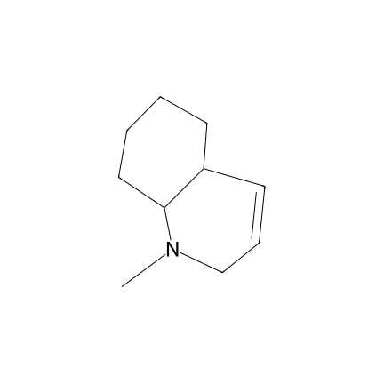 CN1CC=CC2CCCCC21